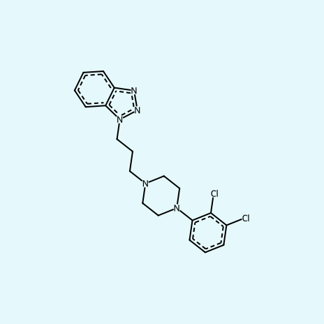 Clc1cccc(N2CCN(CCCn3nnc4ccccc43)CC2)c1Cl